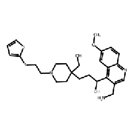 COc1ccc2ncc(CN)c([C@@H](O)CCC3(CO)CCN(CCSc4cccs4)CC3)c2c1